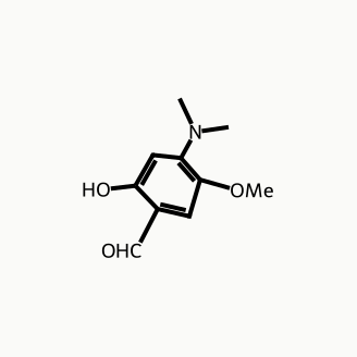 COc1cc(C=O)c(O)cc1N(C)C